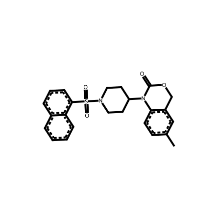 Cc1ccc2c(c1)COC(=O)N2C1CCN(S(=O)(=O)c2cccc3ccccc23)CC1